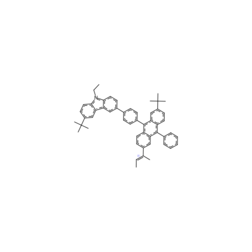 C/C=C(\C)c1ccc2c(-c3ccc(-c4ccc5c(c4)c4cc(C(C)(C)C)ccc4n5CC)cc3)c3cc(C(C)(C)C)ccc3c(-c3ccccc3)c2c1